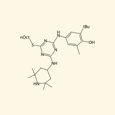 CCCCCCCCSc1nc(Nc2cc(C)c(O)c(C(C)(C)C)c2)nc(NC2CC(C)(C)NC(C)(C)C2)n1